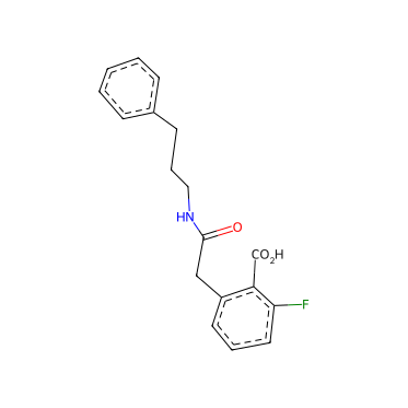 O=C(Cc1cccc(F)c1C(=O)O)NCCCc1ccccc1